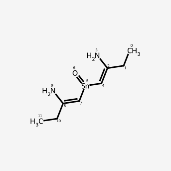 CCC(N)=[CH][Sn](=[O])[CH]=C(N)CC